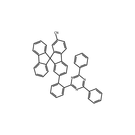 N#Cc1ccc2c(c1)C1(c3ccccc3-c3ccccc31)c1cc(-c3ccccc3-c3nc(-c4ccccc4)nc(-c4ccccc4)n3)ccc1-2